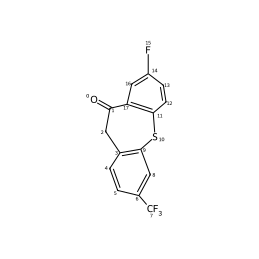 O=C1Cc2ccc(C(F)(F)F)cc2Sc2ccc(F)cc21